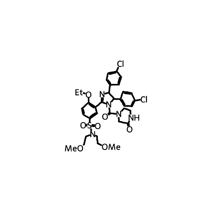 CCOc1ccc(S(=O)(=O)N(CCOC)CCOC)cc1C1=NC(c2ccc(Cl)cc2)C(c2ccc(Cl)cc2)N1C(=O)N1CCNC(=O)C1